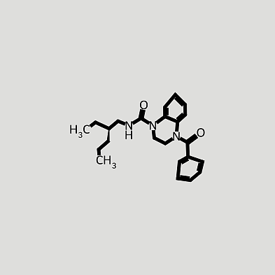 CCC[C@@H](CC)CNC(=O)N1CCN(C(=O)c2ccccc2)c2ccccc21